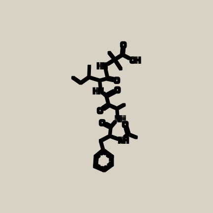 CCC(C)C(NC(=O)C(=O)C(C)NC(=O)C(Cc1ccccc1)NC(C)=O)C(=O)NC(C)(C)C(=O)O